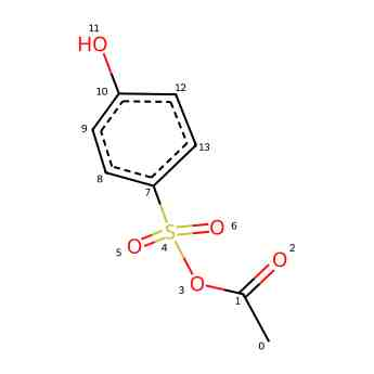 CC(=O)OS(=O)(=O)c1ccc(O)cc1